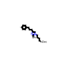 CCCCCCCCCCCCCCn1cc(CCCc2ccccc2)nc1CCC